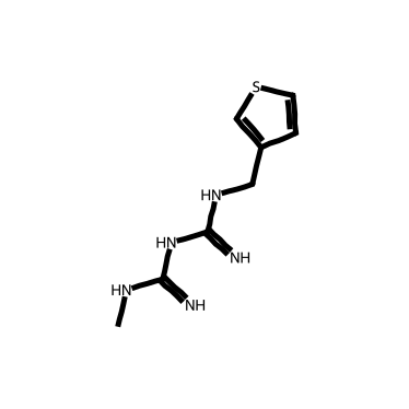 CNC(=N)NC(=N)NCc1ccsc1